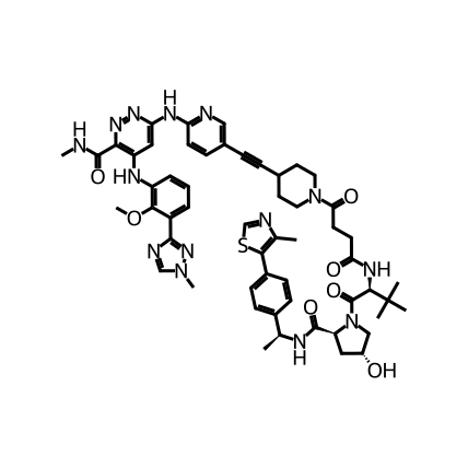 CNC(=O)c1nnc(Nc2ccc(C#CC3CCN(C(=O)CCC(=O)N[C@H](C(=O)N4C[C@H](O)C[C@H]4C(=O)N[C@@H](C)c4ccc(-c5scnc5C)cc4)C(C)(C)C)CC3)cn2)cc1Nc1cccc(-c2ncn(C)n2)c1OC